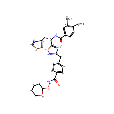 COc1ccc(C(=O)N[C@@H](Cc2cscn2)c2nc(Cc3ccc(C(=O)NOC4CCCCO4)cc3)no2)cc1OC